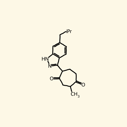 CC(C)Cc1ccc2c(C3CCC(=O)C(C)CC3=O)n[nH]c2c1